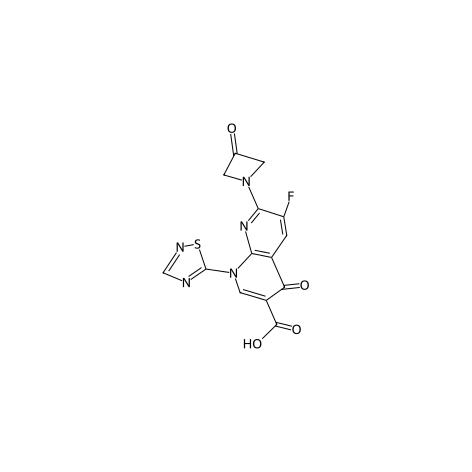 O=C1CN(c2nc3c(cc2F)c(=O)c(C(=O)O)cn3-c2ncns2)C1